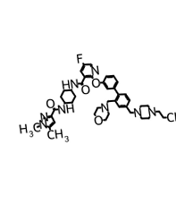 CCCN1CCN(Cc2ccc(-c3cccc(Oc4ncc(F)cc4C(=O)N[C@H]4CC[C@@H](NC(=O)c5cc(C)n(C)n5)CC4)c3)c(CN3CCOCC3)c2)CC1